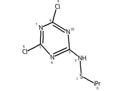 CC(C)SNc1nc(Cl)nc(Cl)n1